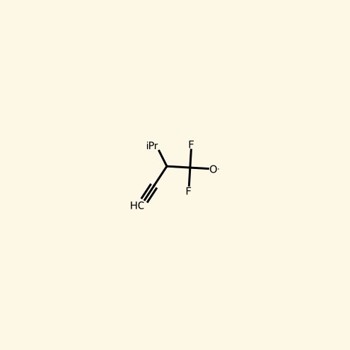 C#CC(C(C)C)C([O])(F)F